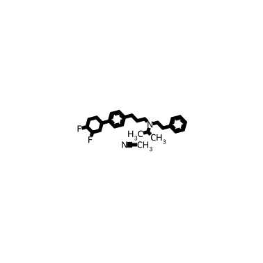 CC#N.CC(C)N(CCCc1ccc(C2CCC(F)C(F)C2)cc1)CCc1ccccc1